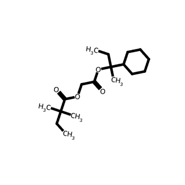 CCC(C)(C)C(=O)OCC(=O)OC(C)(CC)C1CCCCC1